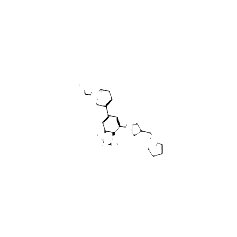 CC(=O)N1CCC=C(c2cc(N3CC(CN4CCCC4)C3)c3nonc3c2)C1